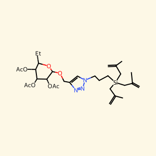 C=C(C)C[Si](CCCn1cc(COC2OC(CC)C(OC(C)=O)C(OC(C)=O)C2OC(C)=O)nn1)(CC(=C)C)CC(=C)C